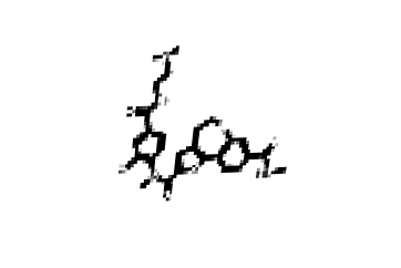 CNC(=O)c1ccc2c(c1)OCCc1cc(C(=O)N(C)c3ccc(C(=O)NCCN(C)C)cc3Cl)sc1-2